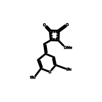 COc1c(C=C2C=C(C(C)(C)C)OC(C(C)(C)C)=C2)c(=O)c1=O